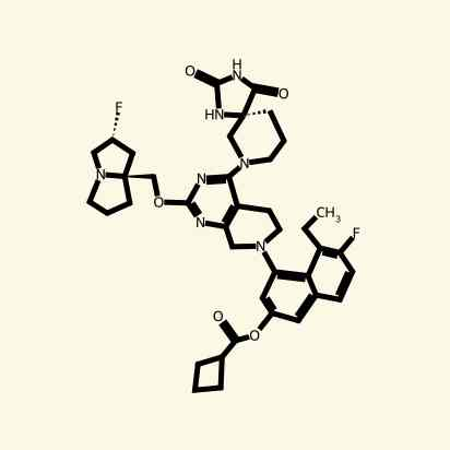 CCc1c(F)ccc2cc(OC(=O)C3CCC3)cc(N3CCc4c(nc(OC[C@@]56CCCN5C[C@H](F)C6)nc4N4CCC[C@]5(C4)NC(=O)NC5=O)C3)c12